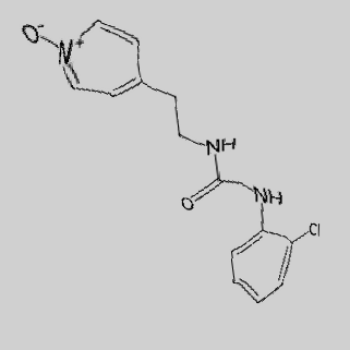 O=C(NCCc1cc[n+]([O-])cc1)Nc1ccccc1Cl